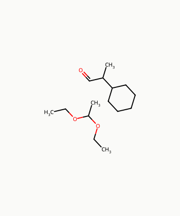 CC(C=O)C1CCCCC1.CCOC(C)OCC